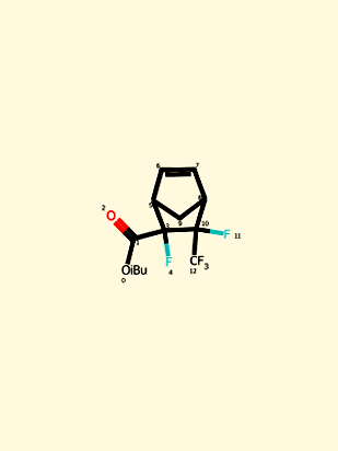 CC(C)COC(=O)C1(F)C2C=CC(C2)C1(F)C(F)(F)F